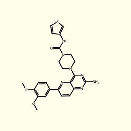 COc1ccc(-c2ccc3nc(N)nc(N4CCN(C(=O)Nc5ccsc5)CC4)c3n2)cc1OC